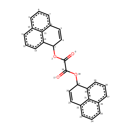 O=C(OC1C=Cc2cccc3cccc1c23)C(=O)OC1C=Cc2cccc3cccc1c23